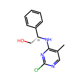 Cc1cnc(Cl)nc1N[C@H](CO)c1ccccc1